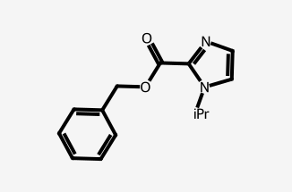 CC(C)n1ccnc1C(=O)OCc1ccccc1